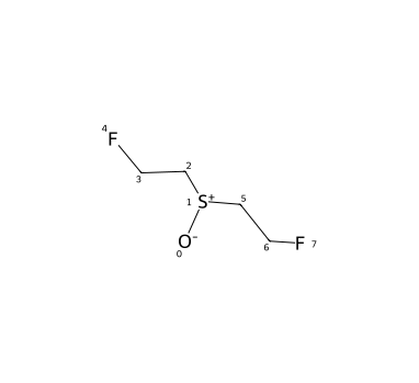 [O-][S+](CCF)CCF